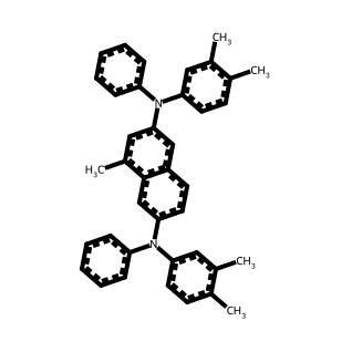 Cc1ccc(N(c2ccccc2)c2cc(C)c3cc(N(c4ccccc4)c4ccc(C)c(C)c4)ccc3c2)cc1C